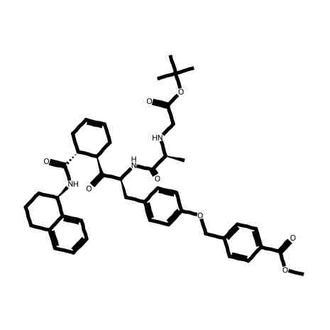 COC(=O)c1ccc(COc2ccc(C[C@H](NC(=O)[C@H](C)NCC(=O)OC(C)(C)C)C(=O)[C@@H]3CC=CC[C@H]3C(=O)N[C@@H]3CCCc4ccccc43)cc2)cc1